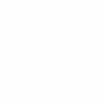 Cc1ccc([C@@H](C)NCc2cccc(-c3ccccn3)c2)cc1